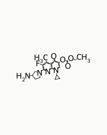 CCOC(=O)Oc1cn(C2CC2)c2nc(N3CCC(N)C3)c(F)c(C)c2c1=O